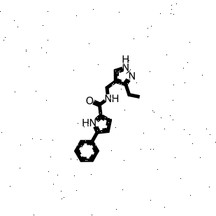 CCc1n[nH]cc1CNC(=O)c1ccc(-c2ccccc2)[nH]1